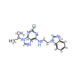 CC(C)n1cnc2c(NCCn3cnc4ccccc43)nc(Cl)nc21